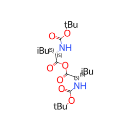 CC[C@H](C)[C@H](NC(=O)OC(C)(C)C)C(=O)OC(=O)[C@@H](NC(=O)OC(C)(C)C)[C@@H](C)CC